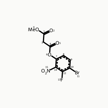 COC(=O)CC(=O)Oc1ccc(Br)c(F)c1[N+](=O)[O-]